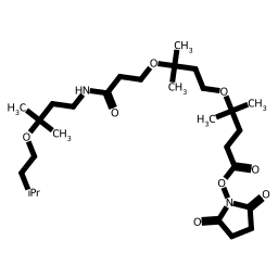 CC(C)CCOC(C)(C)CCNC(=O)CCOC(C)(C)CCOC(C)(C)CCC(=O)ON1C(=O)CCC1=O